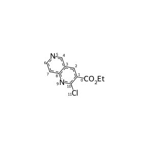 CCOC(=O)c1cc2cnccc2nc1Cl